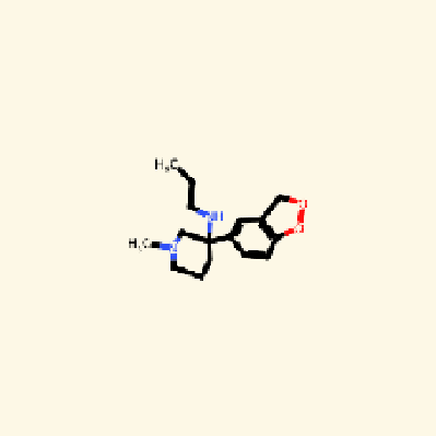 CCCNC1(c2ccc3c(c2)COO3)CCCN(C)C1